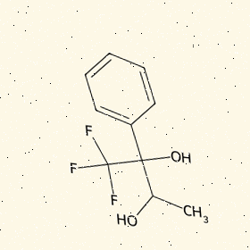 CC(O)C(O)(c1ccccc1)C(F)(F)F